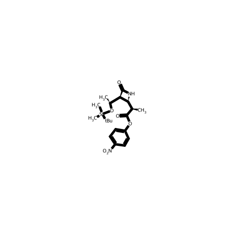 C[C@@H](O[Si](C)(C)C(C)(C)C)[C@H]1C(=O)N[C@@H]1[C@@H](C)C(=O)Oc1ccc([N+](=O)[O-])cc1